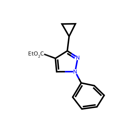 CCOC(=O)c1cn(-c2ccccc2)nc1C1CC1